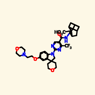 O=C(NC1(C(=O)O)C2CC3CC4CC1C34C2)c1cnc(N2CC3(CCOCC3)c3cc(OCCN4CCOCC4)ccc32)nc1C(F)(F)F